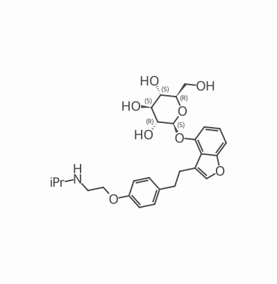 CC(C)NCCOc1ccc(CCc2coc3cccc(O[C@@H]4O[C@H](CO)[C@@H](O)[C@H](O)[C@H]4O)c23)cc1